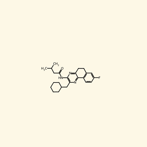 CC(C)CC(=O)Nc1nc2c(nc1CC1CCCCC1)-c1ccc(F)cc1CC2